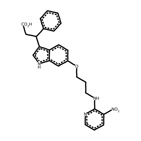 O=C(O)CC(c1ccccc1)c1c[nH]c2cc(OCCCNc3ncccc3[N+](=O)[O-])ccc12